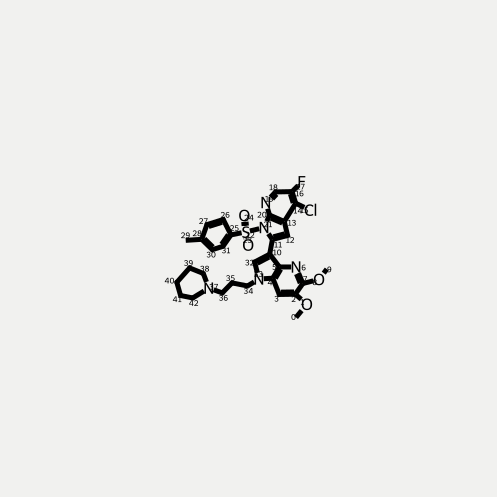 COc1cc2c(nc1OC)c(-c1cc3c(Cl)c(F)cnc3n1S(=O)(=O)c1ccc(C)cc1)cn2CCCN1CCCCC1